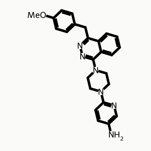 COc1ccc(Cc2nnc(N3CCN(c4ccc(N)cn4)CC3)c3ccccc23)cc1